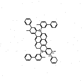 Cc1ccc(-c2ccccc2)cc1N1C2=CC(c3ccccc3)C(C)C=C2c2cc3c4c5c(cc6ccc1c2c64)C1=C[C@@H](C)[C@@H](C2=CC=CCC2)C=C1N(c1cc(-c2ccccc2)ccc1C)C5CC=3